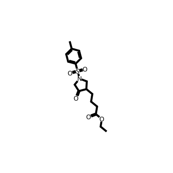 CCOC(=O)CCCC1CN(S(=O)(=O)c2ccc(C)cc2)CC1=O